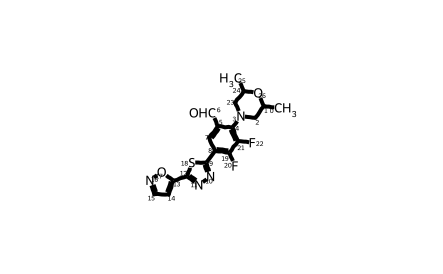 CC1CN(c2c(C=O)cc(-c3nnc(-c4ccno4)s3)c(F)c2F)CC(C)O1